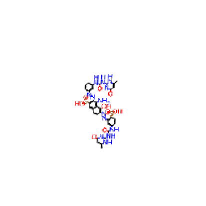 Cc1cc(=O)nc(NC(=O)Nc2cccc(/N=N/c3c(S(=O)O)cc4ccc(/N=N/c5cc(NC(=O)Nc6nc(=O)cc(C)[nH]6)ccc5S(=O)O)c(O)c4c3N)c2)[nH]1